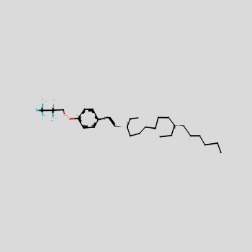 CCCCCC[C@H]1CC[C@H]([C@H]2CC[C@H](C=Cc3ccc(OCC(F)(F)C(F)(F)F)cc3)CC2)CC1